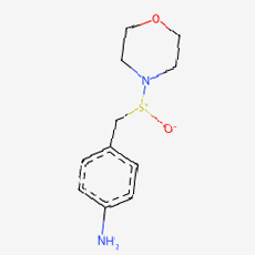 Nc1ccc(C[S+]([O-])N2CCOCC2)cc1